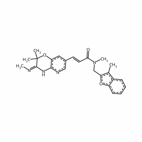 C/N=C1/Nc2ncc(/C=C/C(=O)N(C)Cc3oc4ccccc4c3C)cc2OC1(C)C